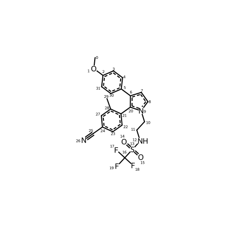 COc1ccc(-c2ccn(CCNS(=O)(=O)C(F)(F)F)c2-c2ccc(C#N)cc2C)cc1